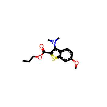 CCCOC(=O)c1sc2cc(OC)ccc2c1N(C)C